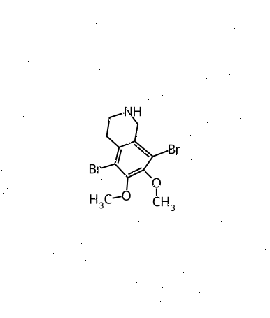 COc1c(Br)c2c(c(Br)c1OC)CNCC2